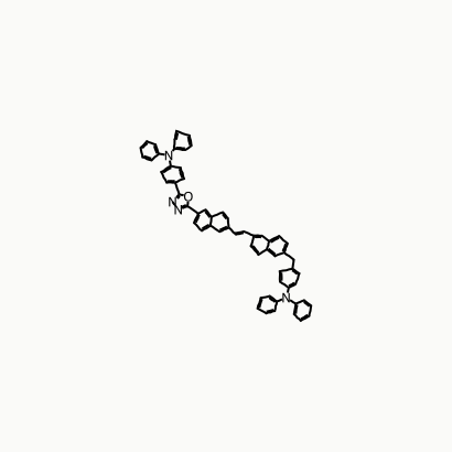 C(=C\c1ccc2cc(-c3nnc(-c4ccc(N(c5ccccc5)c5ccccc5)cc4)o3)ccc2c1)/c1ccc2cc(Cc3ccc(N(c4ccccc4)c4ccccc4)cc3)ccc2c1